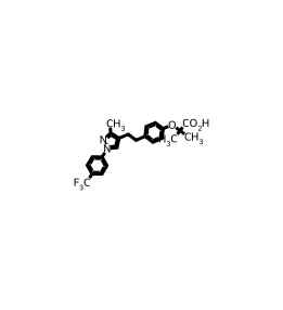 Cc1nn(-c2ccc(C(F)(F)F)cc2)cc1CCc1ccc(OC(C)(C)C(=O)O)cc1